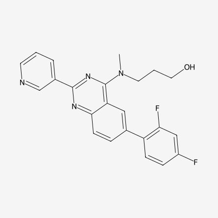 CN(CCCO)c1nc(-c2cccnc2)nc2ccc(-c3ccc(F)cc3F)cc12